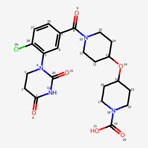 O=C1CCN(c2cc(C(=O)N3CCC(OC4CCN(C(=O)O)CC4)CC3)ccc2Cl)C(=O)N1